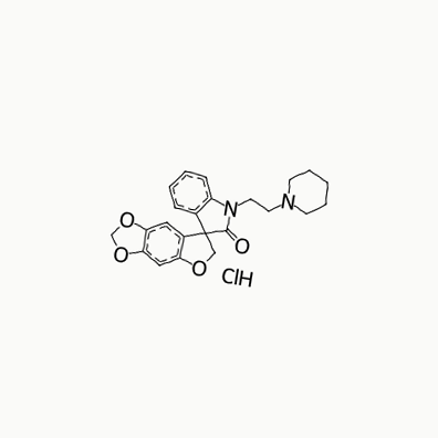 Cl.O=C1N(CCN2CCCCC2)c2ccccc2C12COc1cc3c(cc12)OCO3